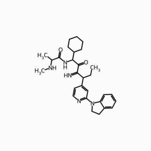 CCC(C(=N)C(=O)C(NC(=O)C(C)NC)C1CCCCC1)c1ccnc(N2CCc3ccccc32)c1